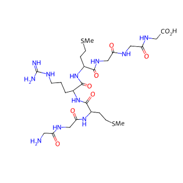 CSCCC(NC(=O)CNC(=O)CN)C(=O)NC(CCCNC(=N)N)C(=O)NC(CCSC)C(=O)NCC(=O)NCC(=O)NCC(=O)O